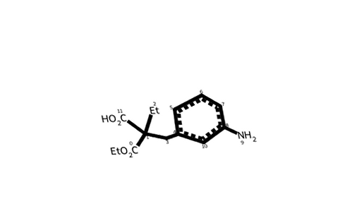 CCOC(=O)C(CC)(Cc1cccc(N)c1)C(=O)O